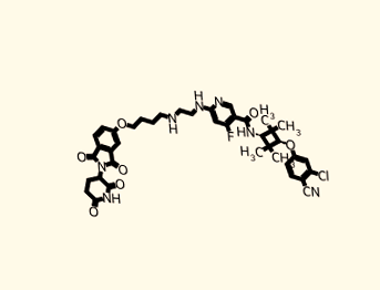 CC1(C)[C@H](NC(=O)c2cnc(NCCNCCCCOc3ccc4c(c3)C(=O)N(C3CCC(=O)NC3=O)C4=O)cc2F)C(C)(C)[C@H]1Oc1ccc(C#N)c(Cl)c1